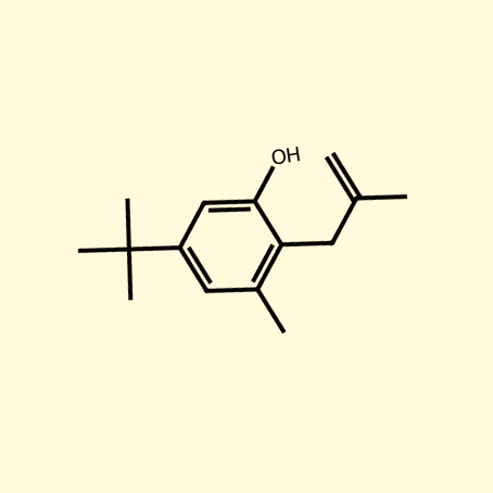 C=C(C)Cc1c(C)cc(C(C)(C)C)cc1O